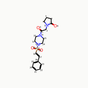 O=C(CN1CCCC1=O)N1CCN(S(=O)(=O)C=Cc2ccccc2)CC1